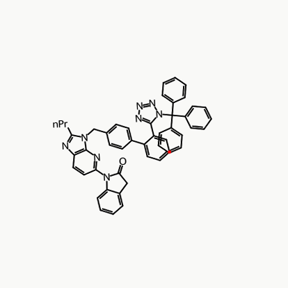 CCCc1nc2ccc(N3C(=O)Cc4ccccc43)nc2n1Cc1ccc(-c2ccccc2-c2nnnn2C(c2ccccc2)(c2ccccc2)c2ccccc2)cc1